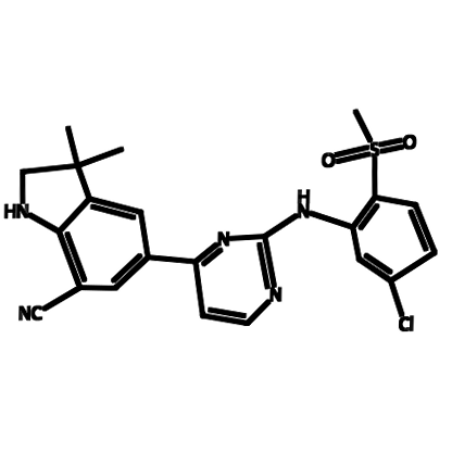 CC1(C)CNc2c(C#N)cc(-c3ccnc(Nc4cc(Cl)ccc4S(C)(=O)=O)n3)cc21